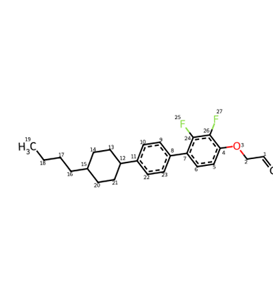 C=CCOc1ccc(-c2ccc(C3CCC(CCCC)CC3)cc2)c(F)c1F